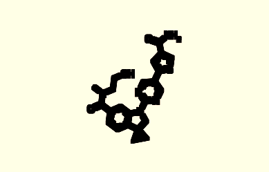 CN(CCO)C(=O)c1ccc2c(c1)N(c1ncc(-c3cc(C(N)=O)cs3)cn1)CC21CC1